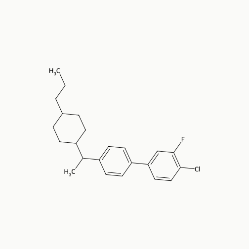 CCCC1CCC(C(C)c2ccc(-c3ccc(Cl)c(F)c3)cc2)CC1